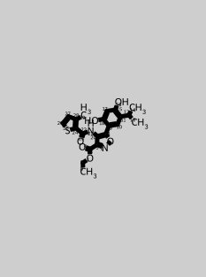 CCOC(=O)c1noc(-c2cc(C(C)C)c(O)cc2O)c1NC(=O)c1sccc1C